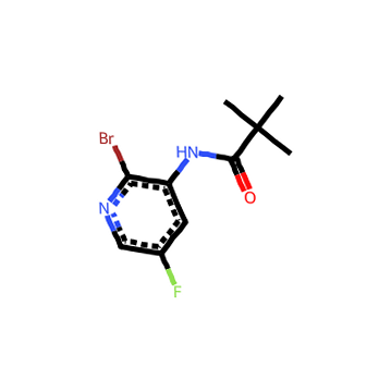 CC(C)(C)C(=O)Nc1cc(F)cnc1Br